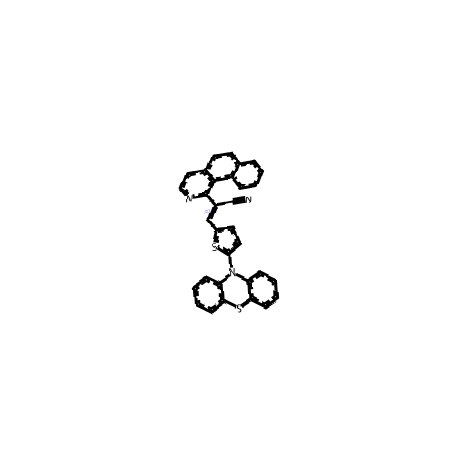 N#C/C(=C\c1ccc(N2c3ccccc3Sc3ccccc32)s1)c1nccc2ccc3ccccc3c12